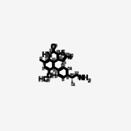 Cc1cc(O)c(-c2ccc([C@@H](C)CN)cc2)c2c1[nH]c(=O)c1sc(F)cc12.Cl